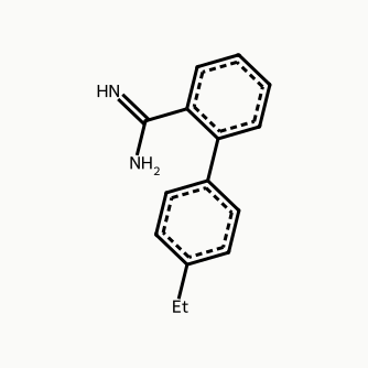 CCc1ccc(-c2ccccc2C(=N)N)cc1